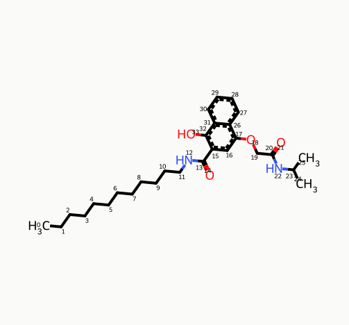 CCCCCCCCCCCCNC(=O)c1cc(OCC(=O)NC(C)C)c2ccccc2c1O